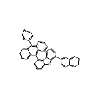 c1ccc(-c2c3ccccc3c(-c3cccc4sc5c(-c6ccc7ccccc7c6)cccc5c34)c3ccccc23)cc1